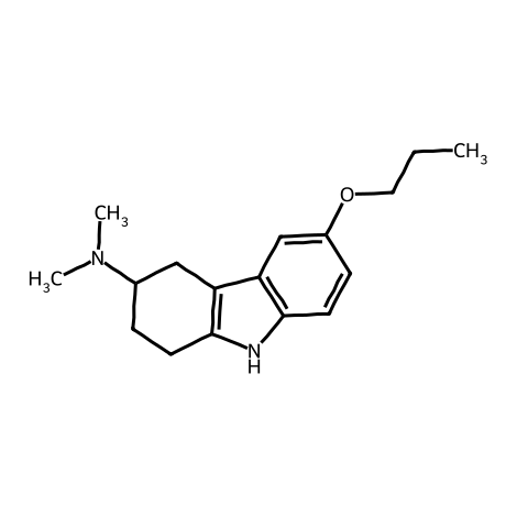 CCCOc1ccc2[nH]c3c(c2c1)CC(N(C)C)CC3